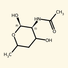 CC(=O)N[C@H]1C(O)CC(C)O[C@H]1O